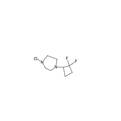 FC1(F)CCC1N1CCN(Cl)CC1